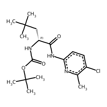 Cc1nc(NC(=O)[C@@H](CC(C)(C)C)NC(=O)OC(C)(C)C)ccc1Cl